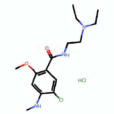 CCN(CC)CCNC(=O)c1cc(Cl)c(NC)cc1OC.Cl